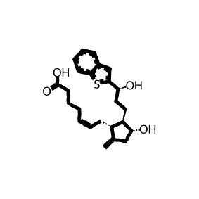 C=C1C[C@@H](O)[C@H](CC[C@@H](O)c2cc3ccccc3s2)[C@H]1C/C=C\CCCC(=O)O